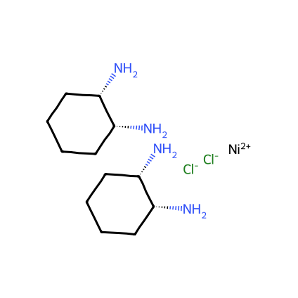 N[C@@H]1CCCC[C@@H]1N.N[C@@H]1CCCC[C@@H]1N.[Cl-].[Cl-].[Ni+2]